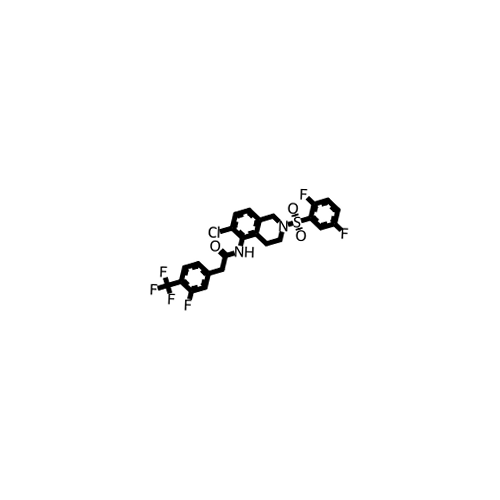 O=C(Cc1ccc(C(F)(F)F)c(F)c1)Nc1c(Cl)ccc2c1CCN(S(=O)(=O)c1cc(F)ccc1F)C2